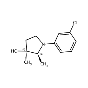 C[C@@H]1N(c2cccc(Cl)c2)CC[C@]1(C)O